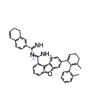 CC1=C(c2ccccc2C)C(c2ccc3c(c2)oc2cccc(/C(N)=N/C(=N)c4ccc5c(c4)CCC=C5)c23)=CCC1